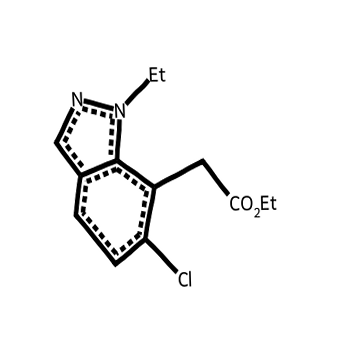 CCOC(=O)Cc1c(Cl)ccc2cnn(CC)c12